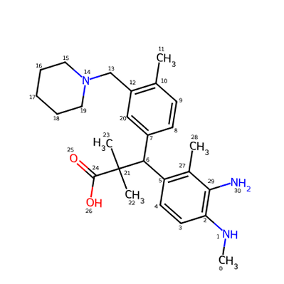 CNc1ccc(C(c2ccc(C)c(CN3CCCCC3)c2)C(C)(C)C(=O)O)c(C)c1N